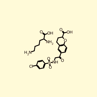 NCCCCC(N)C(=O)O.O=C(CNS(=O)(=O)c1ccc(Cl)cc1)c1ccc2c(c1)CCC(C(=O)O)O2